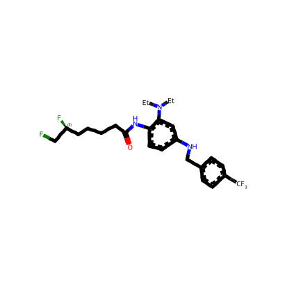 CCN(CC)c1cc(NCc2ccc(C(F)(F)F)cc2)ccc1NC(=O)CCCC[C@H](F)CF